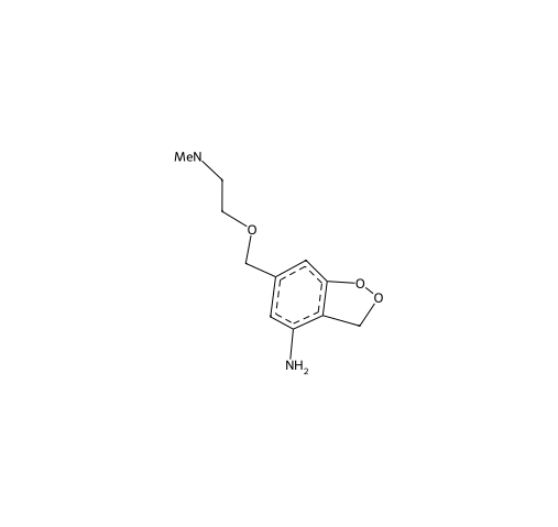 CNCCOCc1cc(N)c2c(c1)OOC2